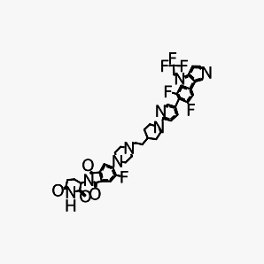 O=C1CCC(N2C(=O)c3cc(F)c(N4CCN(CCC5CCN(c6ccc(-c7c(F)cc8c9cnccc9n(CC(F)(F)F)c8c7F)cn6)CC5)CC4)cc3C2=O)C(=O)N1